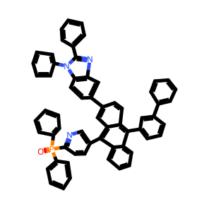 O=P(c1ccccc1)(c1ccccc1)c1ccc(-c2c3ccccc3c(-c3cccc(-c4ccccc4)c3)c3ccc(-c4ccc5c(c4)nc(-c4ccccc4)n5-c4ccccc4)cc23)cn1